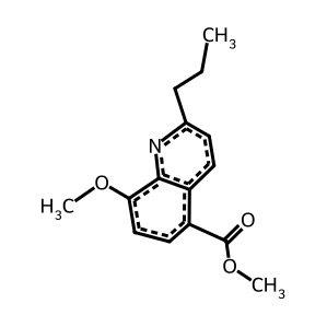 CCCc1ccc2c(C(=O)OC)ccc(OC)c2n1